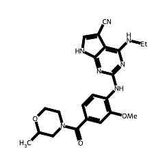 CCNc1nc(Nc2ccc(C(=O)N3CCOC(C)C3)cc2OC)nc2[nH]cc(C#N)c12